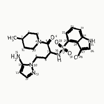 CC1CCN(C(=O)C(CCn2nccc2N)NS(=O)(=O)c2cccc3[nH]cc(Cl)c23)CC1